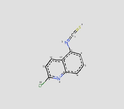 S=C=Nc1cccc2nc(Cl)ccc12